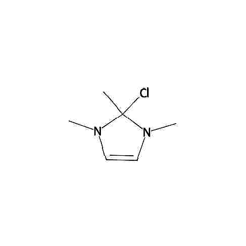 CN1C=CN(C)C1(C)Cl